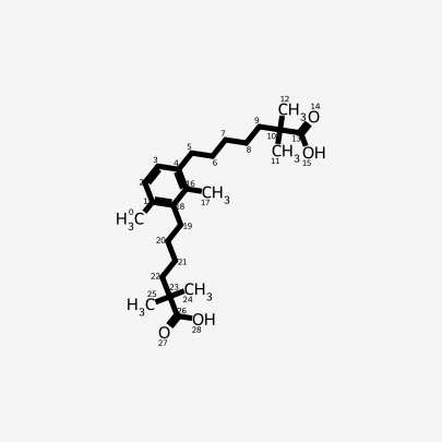 Cc1ccc(CCCCCC(C)(C)C(=O)O)c(C)c1CCCCC(C)(C)C(=O)O